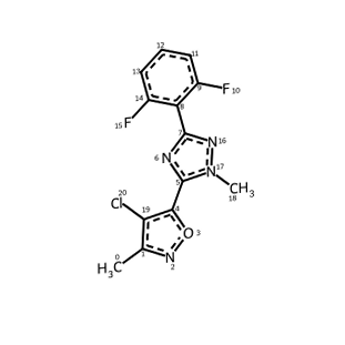 Cc1noc(-c2nc(-c3c(F)cccc3F)nn2C)c1Cl